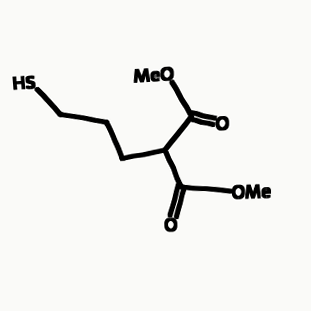 COC(=O)C(CCCS)C(=O)OC